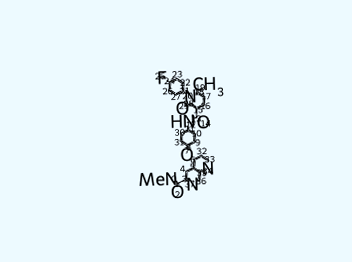 CNC(=O)c1cc2c(Oc3ccc(NC(=O)c4ccc(C)n(-c5ccc(F)cc5)c4=O)cc3)ccnc2cn1